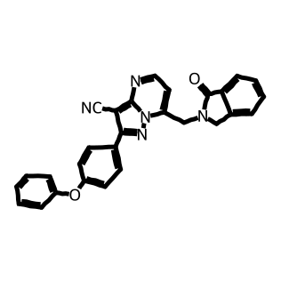 N#Cc1c(-c2ccc(Oc3ccccc3)cc2)nn2c(CN3Cc4ccccc4C3=O)ccnc12